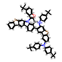 CC(C)(C)c1ccc(Nc2cc3sc4ccc(N(c5ccc(C(C)(C)C)cc5)c5ccc(C(C)(C)C)cc5)cc4c3cc2-c2ccc3c4cc5c(cc4n4c3c2Bc2oc3ccc(C(C)(C)C)cc3c2-4)sc2ccccc25)cc1